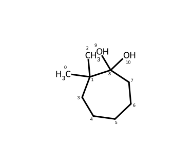 CC1(C)CCCCCC1(O)O